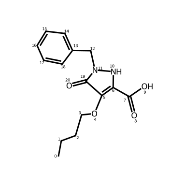 CCCCOc1c(C(=O)O)[nH]n(Cc2ccccc2)c1=O